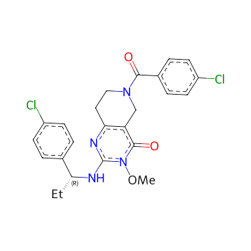 CC[C@@H](Nc1nc2c(c(=O)n1OC)CN(C(=O)c1ccc(Cl)cc1)CC2)c1ccc(Cl)cc1